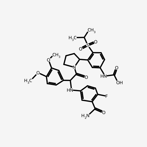 COc1ccc(C(Nc2ccc(F)c(C(N)=O)c2)C(=O)N2CCCC2c2cc(NC(=O)O)ccc2S(=O)(=O)C(C)C)cc1OC